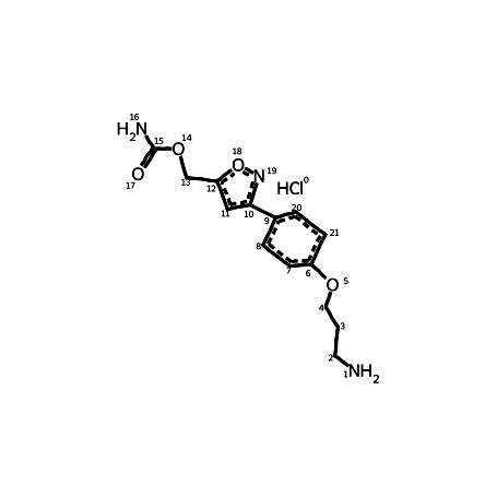 Cl.NCCCOc1ccc(-c2cc(COC(N)=O)on2)cc1